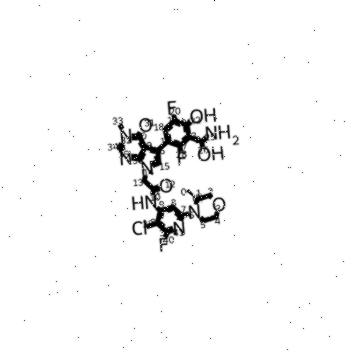 C[C@H]1COCCN1c1cc(NC(=O)Cn2cc(-c3cc(F)c(O)c(C(N)O)c3F)c3c(=O)n(C)cnc32)c(Cl)c(F)n1